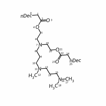 CCCCCCCCCCCC(=O)OCCN(CCCN(C)CCCN(C)C)CCOC(=O)CCCCCCCCCCC